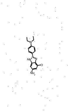 CCN(CC)c1ccc(N2[N]c3c(Cl)cc(N)cc3N2)cc1